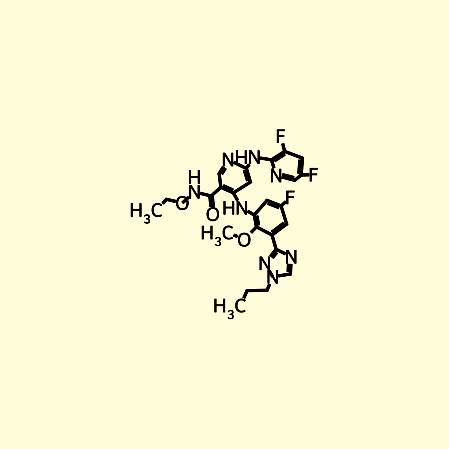 CCCn1cnc(-c2cc(F)cc(Nc3cc(Nc4ncc(F)cc4F)ncc3C(=O)NOCC)c2OC)n1